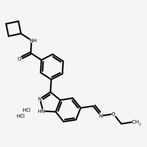 CCON=Cc1ccc2[nH]nc(-c3cccc(C(=O)NC4CCC4)c3)c2c1.Cl.Cl